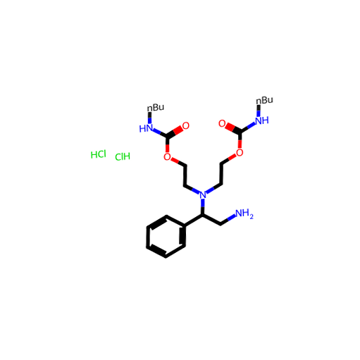 CCCCNC(=O)OCCN(CCOC(=O)NCCCC)C(CN)c1ccccc1.Cl.Cl